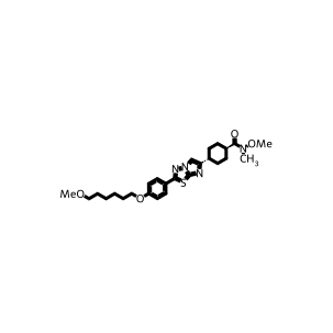 COCCCCCCOc1ccc(-c2nn3cc([C@H]4CC[C@H](C(=O)N(C)OC)CC4)nc3s2)cc1